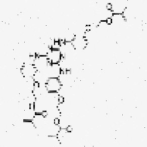 C=C(C)C(=O)OCCOc1cccc(Nc2nc(Nc3cccc(OCCOC(=O)C(=C)C)c3)nc(Nc3cccc(OCCOC(=O)C(=C)C)c3)n2)c1